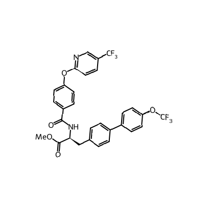 COC(=O)[C@H](Cc1ccc(-c2ccc(OC(F)(F)F)cc2)cc1)NC(=O)c1ccc(Oc2ccc(C(F)(F)F)cn2)cc1